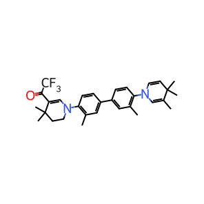 CC1=CN(c2ccc(-c3ccc(N4C=C(C(=O)C(F)(F)F)C(C)(C)CC4)c(C)c3)cc2C)C=CC1(C)C